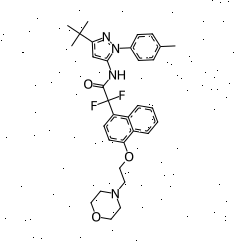 Cc1ccc(-n2nc(C(C)(C)C)cc2NC(=O)C(F)(F)c2ccc(OCCN3CCOCC3)c3ccccc23)cc1